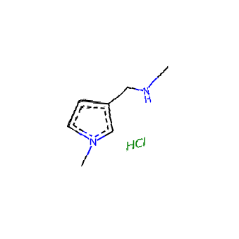 CNCc1ccn(C)c1.Cl